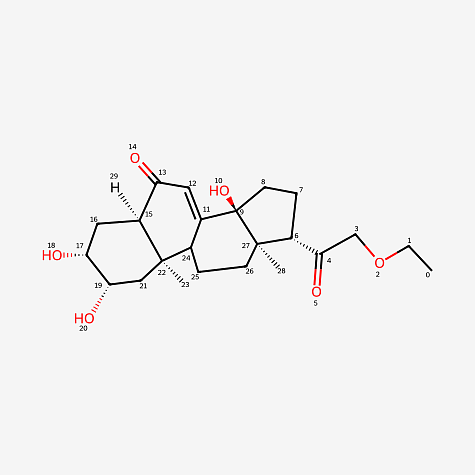 CCOCC(=O)[C@H]1CC[C@@]2(O)C3=CC(=O)[C@@H]4C[C@@H](O)[C@@H](O)C[C@]4(C)C3CC[C@]12C